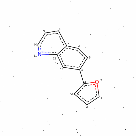 c1coc(-c2ccc3cccnc3c2)c1